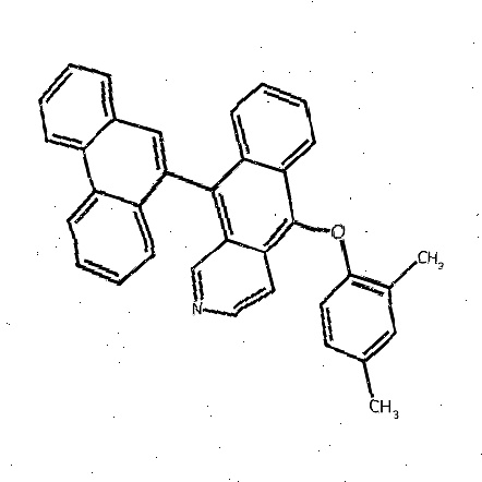 Cc1ccc(Oc2c3ccccc3c(-c3cc4ccccc4c4ccccc34)c3cnccc23)c(C)c1